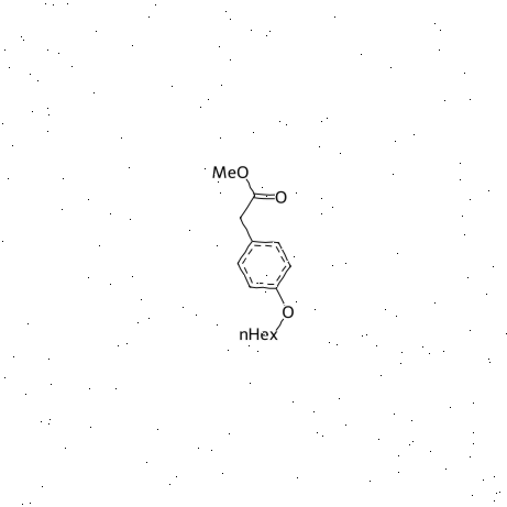 CCCCCCOc1ccc(CC(=O)OC)cc1